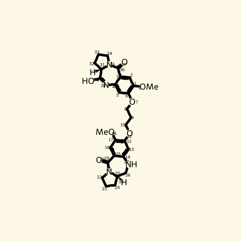 COc1cc2c(cc1OCCCOc1cc3c(cc1OC)C(=O)N1CCC[C@H]1CN3)N=C(O)[C@@H]1CCCN1C2=O